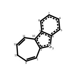 C1=Cc2sc3ccccc3c2C=CC1